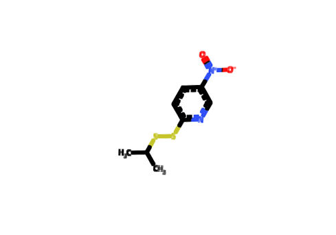 CC(C)SSc1ccc([N+](=O)[O-])cn1